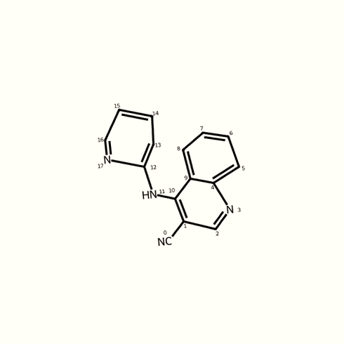 N#Cc1cnc2ccccc2c1Nc1ccccn1